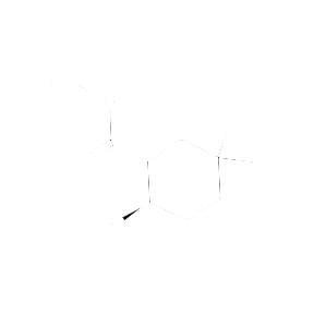 COC(=O)[C@@H]1CC(F)(F)CC[C@H]1C